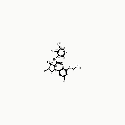 CN1CC(c2cc(F)cc(OCC(F)(F)F)c2)C(C(=O)Nc2cccc(F)c2F)C1=O